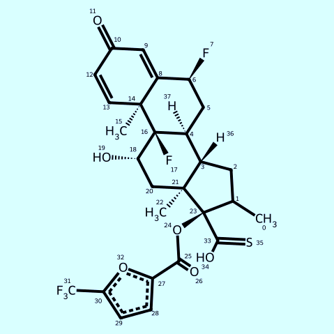 CC1C[C@H]2[C@@H]3C[C@H](F)C4=CC(=O)C=C[C@]4(C)[C@@]3(F)[C@@H](O)C[C@]2(C)[C@@]1(OC(=O)c1ccc(C(F)(F)F)o1)C(O)=S